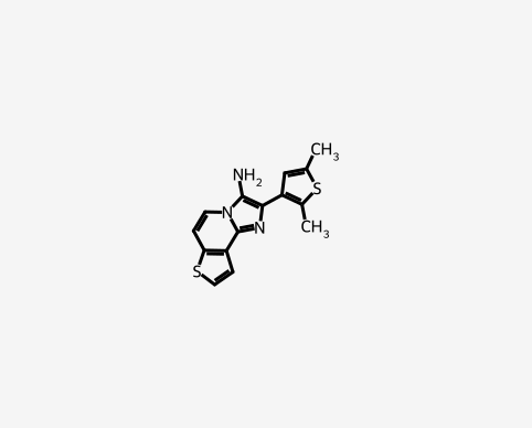 Cc1cc(-c2nc3c4ccsc4ccn3c2N)c(C)s1